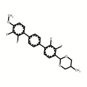 COc1ccc(-c2ccc(-c3ccc(C4OCC(C)CO4)c(F)c3F)cc2)c(F)c1F